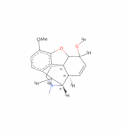 [2H]OC1([2H])C=C[C@]2([2H])[C@@]34CCN(C)[C@]2([2H])C([2H])([2H])c2ccc(OC)c(c23)OC14